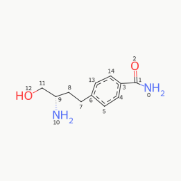 NC(=O)c1ccc(CC[C@H](N)CO)cc1